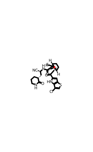 N#C[C@H](C[C@H]1CCCNC1=O)NC(=O)[C@@H]1[C@@H]2CC[C@@H](CC2(F)F)N1C(=O)c1cc2scc(Cl)c2[nH]1